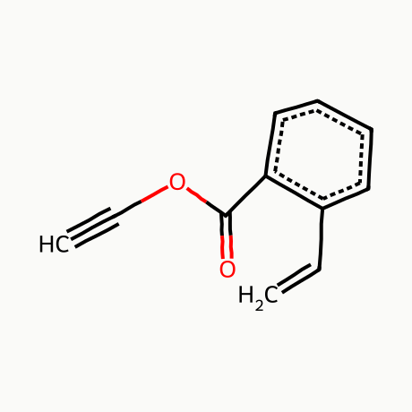 C#COC(=O)c1ccccc1C=C